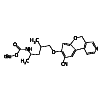 CC(COc1cc2c(cc1C#N)-c1ccncc1CO2)CC(C)NC(=O)OC(C)(C)C